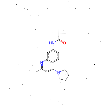 Cc1cc(N2CCCC2)c2ccc(NC(=O)C(C)(C)C)cc2n1